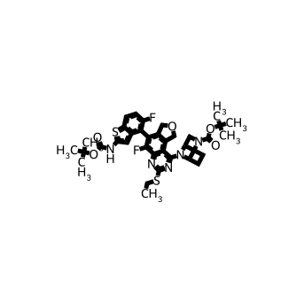 CCSc1nc(N2C3CCC34C2CN4C(=O)OC(C)(C)C)c2c3c(c(-c4c(F)ccc5sc(NC(=O)OC(C)(C)C)cc45)c(F)c2n1)COC3